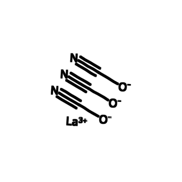 N#C[O-].N#C[O-].N#C[O-].[La+3]